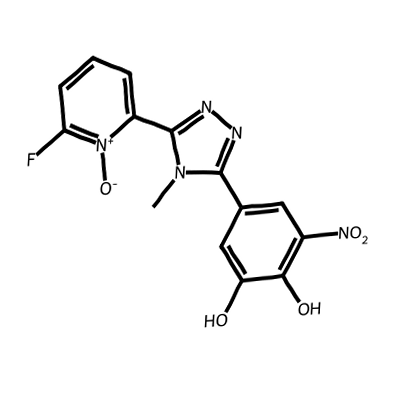 Cn1c(-c2cc(O)c(O)c([N+](=O)[O-])c2)nnc1-c1cccc(F)[n+]1[O-]